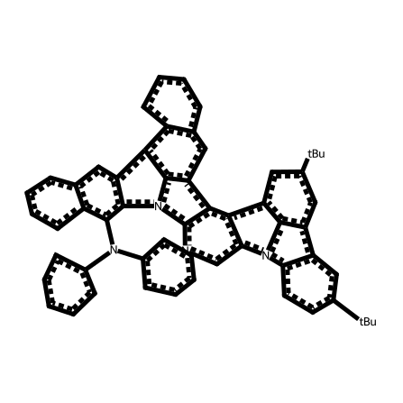 CC(C)(C)c1ccc2c(c1)c1cc(C(C)(C)C)cc3c4c5c6cc7ccccc7c7c8cc9ccccc9c(N(c9ccccc9)c9ccccc9)c8n(c5ncc4n2c13)c67